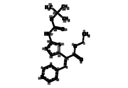 CCOC(=O)/C(=C/c1ccncc1)c1cnc(NC(=O)OC(C)(C)C)s1